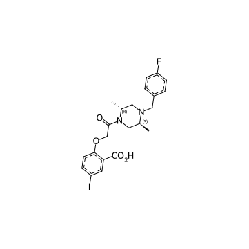 C[C@@H]1CN(Cc2ccc(F)cc2)[C@@H](C)CN1C(=O)COc1ccc(I)cc1C(=O)O